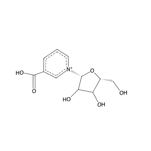 O=C(O)c1ccc[n+]([C@@H]2O[C@H](CO)C(O)C2O)c1